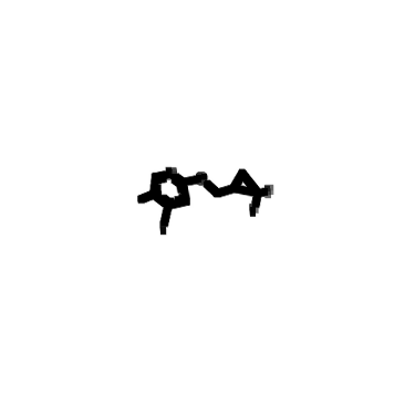 Cc1cnc(OCC2CC2(F)F)cc1I